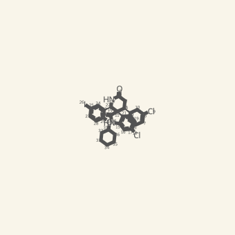 O=C1C[C@@H](C2C=CC=C(Cl)C2)[C@]2(C(=O)Nc3cc(Cl)ccc32)[C@@H](c2cc(I)ccc2OC2CCCCC2)N1